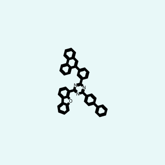 c1ccc(-c2ccc(-c3nc(-c4cccc(-c5cc6ccccc6c6ccccc56)c4)nc(-c4cccc5c4oc4ccccc45)n3)cc2)cc1